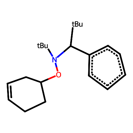 CC(C)(C)C(c1ccccc1)N(OC1CC=CCC1)C(C)(C)C